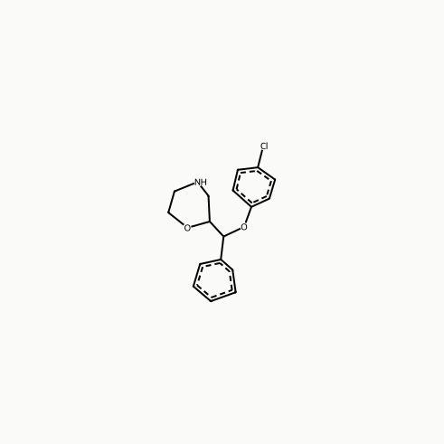 Clc1ccc(OC(c2ccccc2)C2CNCCO2)cc1